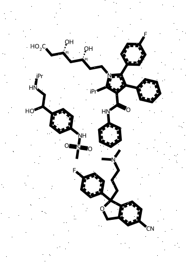 CC(C)NCC(O)c1ccc(NS(C)(=O)=O)cc1.CC(C)c1c(C(=O)Nc2ccccc2)c(-c2ccccc2)c(-c2ccc(F)cc2)n1CC[C@@H](O)C[C@@H](O)CC(=O)O.CN(C)CCCC1(c2ccc(F)cc2)OCc2cc(C#N)ccc21